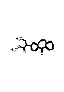 CCC(C(=O)OC)c1ccc2c(=O)c3ccccc3ccc2c1